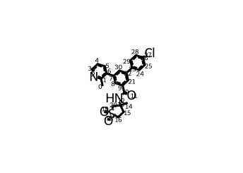 Cc1ncccc1-c1cc(C(=O)NC2(C)CCS(=O)(=O)C2)cc(-c2ccc(Cl)cc2)c1